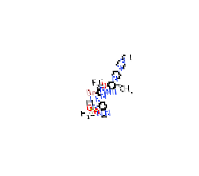 C=Cc1cc(Nc2ncc(Br)c(Nc3ccc4nccnc4c3N(CC)S(C)(=O)=O)n2)c(OC(F)(F)F)cc1N1CCC(N2CCN(C)CC2)CC1